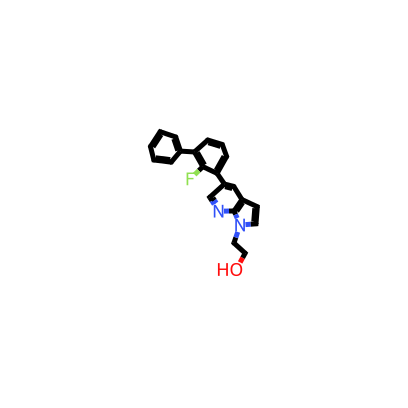 OCCn1ccc2cc(-c3cccc(-c4ccccc4)c3F)cnc21